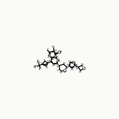 Cc1nc2c(C34CC(C(F)(F)F)(C3)C4)cc([C@@H]3CCO[C@@H](c4cnn(C5COC5)c4)C3)nn2c(=O)c1C